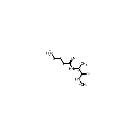 CNC(=O)[C@H](C)NC(=O)CCCN